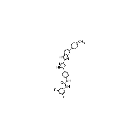 CN1CCN(c2ccc3[nH]c(-c4cc(-c5ccc(NC(=O)Nc6cc(F)cc(F)c6)cc5)[nH]n4)nc3c2)CC1